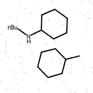 CC1CCCCC1.CCCCNC1CCCCC1